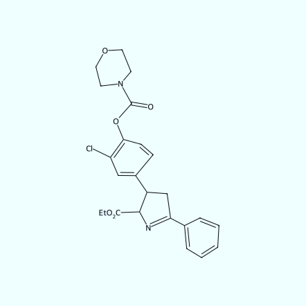 CCOC(=O)C1N=C(c2ccccc2)CC1c1ccc(OC(=O)N2CCOCC2)c(Cl)c1